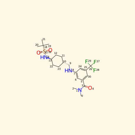 CN(C)C(=O)c1cc(NC[C@H]2CC[C@H](NS(=O)(=O)C(C)(C)C)CC2)cc(C(F)(F)F)c1